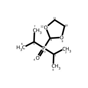 CC(C)P(=O)(C(C)C)C1OCCO1